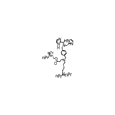 CCCN(CCC)CCCCN(CCC(=O)OCCN(CCC)CCC)Cc1ccc(CN(Cc2ncc[nH]2)C(C)c2ncc[nH]2)cc1